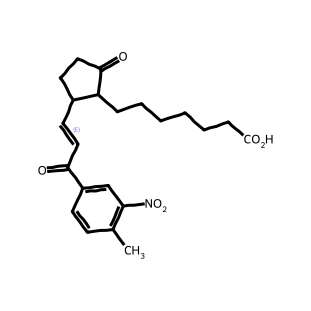 Cc1ccc(C(=O)/C=C/C2CCC(=O)C2CCCCCCC(=O)O)cc1[N+](=O)[O-]